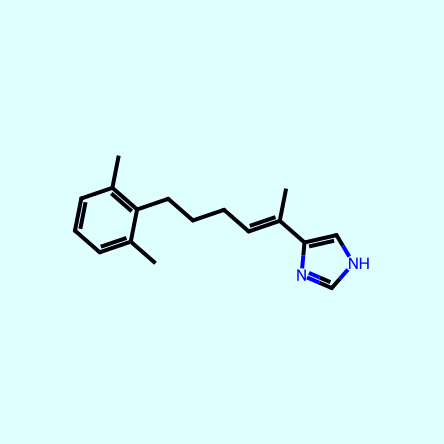 C/C(=C\CCCc1c(C)cccc1C)c1c[nH]cn1